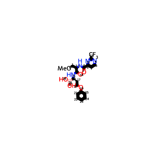 COCC(NC(=O)c1ccnc(C(F)(F)F)n1)C(=O)N[C@@H](CCOc1ccccc1)B(O)O